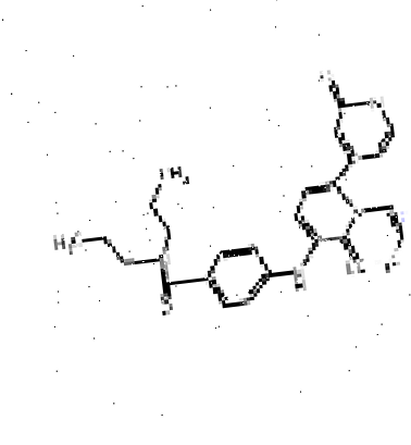 C=C1C(Nc2ccc(C(=O)N(CCC)CCC)cc2)=CC=C(c2cc[nH]c(=O)c2)N1/C=C\C